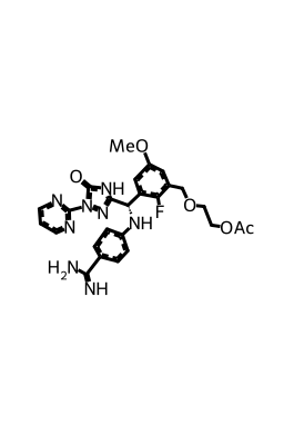 COc1cc(COCCOC(C)=O)c(F)c([C@H](Nc2ccc(C(=N)N)cc2)c2nn(-c3ncccn3)c(=O)[nH]2)c1